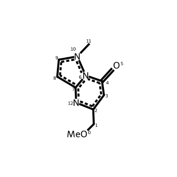 COCc1cc(=O)n2c(ccn2C)n1